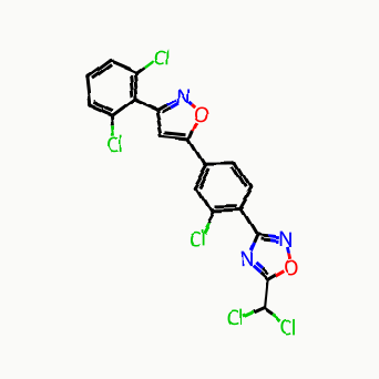 Clc1cc(-c2cc(-c3c(Cl)cccc3Cl)no2)ccc1-c1noc(C(Cl)Cl)n1